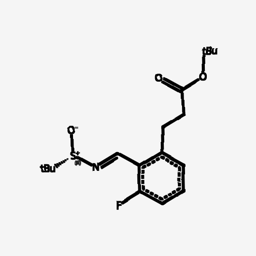 CC(C)(C)OC(=O)CCc1cccc(F)c1C=N[S@@+]([O-])C(C)(C)C